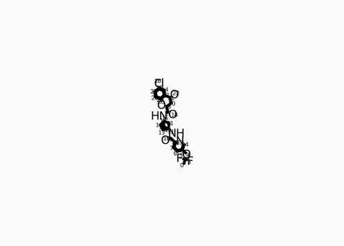 CC(F)(F)Oc1ccc(C(=O)NC23CCC(NC(=O)C4CC(=O)c5cc(Cl)ccc5O4)(C2)C3)nc1